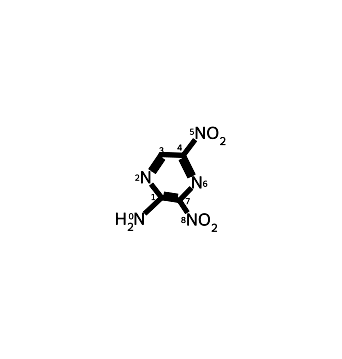 Nc1ncc([N+](=O)[O-])nc1[N+](=O)[O-]